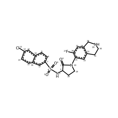 O=C1C(NS(=O)(=O)c2ccc3cc(Cl)ccc3c2)CCN1c1cc2c(cc1F)CNCC2